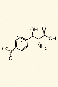 N[C@@H](C(=O)O)[C@H](O)c1ccc([N+](=O)[O-])cc1